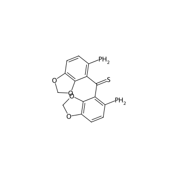 Pc1ccc2c(c1C(=S)c1c(P)ccc3c1OCO3)OCO2